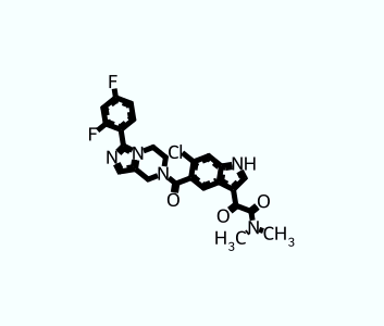 CN(C)C(=O)C(=O)c1c[nH]c2cc(Cl)c(C(=O)N3CCn4c(cnc4-c4ccc(F)cc4F)C3)cc12